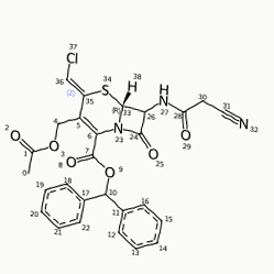 CC(=O)OCC1=C(C(=O)OC(c2ccccc2)c2ccccc2)N2C(=O)C(NC(=O)CC#N)[C@H]2S/C1=C\Cl